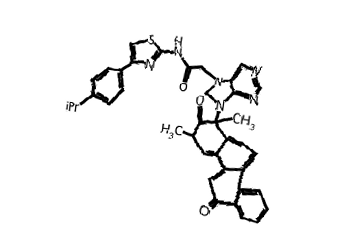 CC1C=c2c(ccc3c2=CC(=O)c2ccccc2-3)C(C)(N2CN(CC(=O)Nc3nc(-c4ccc(C(C)C)cc4)cs3)c3cncnc32)C1=O